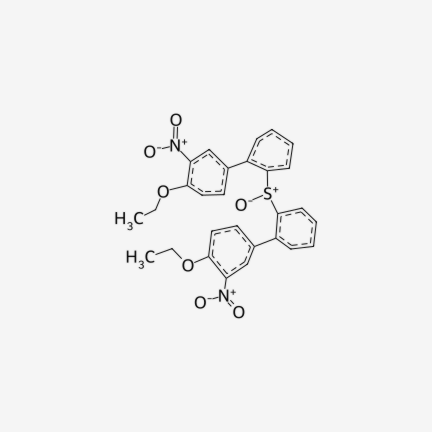 CCOc1ccc(-c2ccccc2[S+]([O-])c2ccccc2-c2ccc(OCC)c([N+](=O)[O-])c2)cc1[N+](=O)[O-]